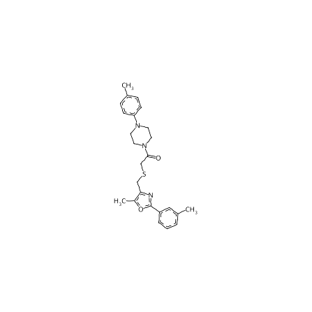 Cc1ccc(N2CCN(C(=O)CSCc3nc(-c4cccc(C)c4)oc3C)CC2)cc1